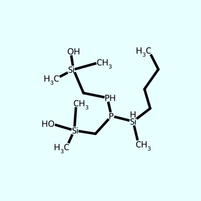 CCCC[SiH](C)P(C[Si](C)(C)O)PC[Si](C)(C)O